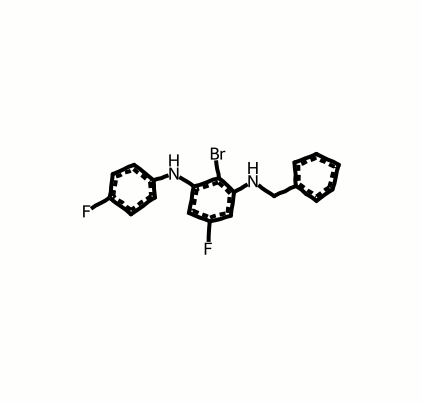 Fc1ccc(Nc2cc(F)cc(NCc3ccccc3)c2Br)cc1